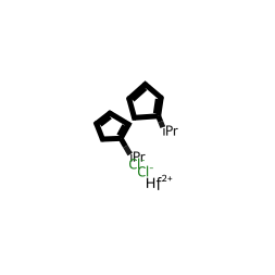 CC(C)C1=CC=CC1.CC(C)C1=CC=CC1.[Cl-].[Cl-].[Hf+2]